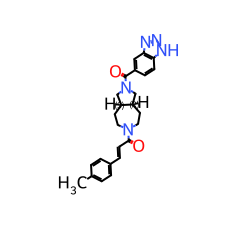 Cc1ccc(C=CC(=O)N2CC[C@@H]3CN(C(=O)c4ccc5[nH]nnc5c4)C[C@@H]3CC2)cc1